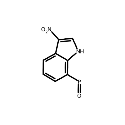 O=Pc1cccc2c([N+](=O)[O-])c[nH]c12